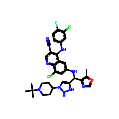 Cc1ocnc1[C@H](Nc1cc(Cl)c2ncc(C#N)c(Nc3ccc(F)c(Cl)c3)c2c1)C1=CN(C2CCN(C(C)(C)C)CC2)NN1